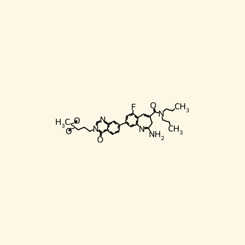 CCCN(CCC)C(=O)C1=Cc2c(F)cc(-c3ccc4c(=O)n(CCCS(C)(=O)=O)cnc4c3)cc2N=C(N)C1